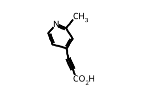 Cc1cc(C#CC(=O)O)ccn1